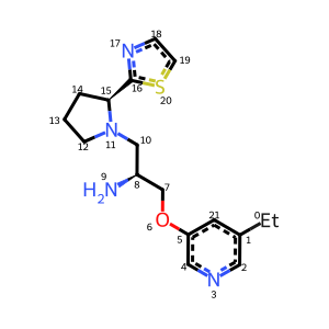 CCc1cncc(OC[C@@H](N)CN2CCC[C@H]2c2nccs2)c1